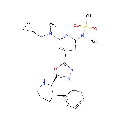 CN(CC1CC1)c1cc(-c2nnc([C@@H]3NCCC[C@@H]3c3ccccc3)o2)cc(N(C)S(C)(=O)=O)n1